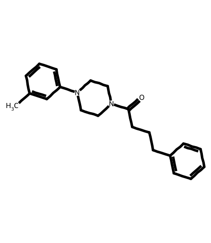 Cc1cccc(N2CCN(C(=O)CCCc3ccccc3)CC2)c1